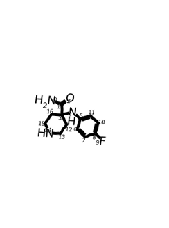 NC(=O)C1(Nc2ccc(F)cc2)CCNCC1